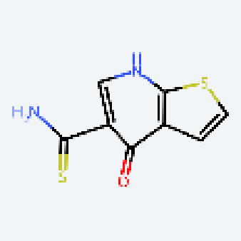 NC(=S)c1c[nH]c2sccc2c1=O